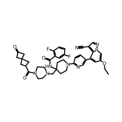 CCOc1cc(-c2ccc(N3CCC(CN4CCN(C(=O)C5CC6(CC(=O)C6)C5)CC4)(NC(=O)c4cc(F)ccc4F)CC3)nc2)c2c(C#N)cnn2c1